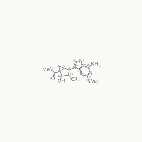 CNC(=O)C12CC1C(n1cnc3c(N)nc(SC)nc31)C(O)C2O